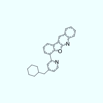 c1ccc2nc3oc4c(-c5cc(CC6CCCCC6)ccn5)cccc4c3cc2c1